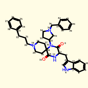 O=C1C(Cc2c[nH]c3ccccc23)NC(=O)C2(CCN(CCCc3ccccc3)CC2)N1C1CCN(Cc2ccccc2)C1